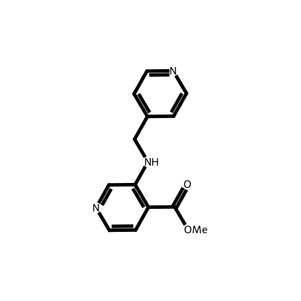 COC(=O)c1ccncc1NCc1ccncc1